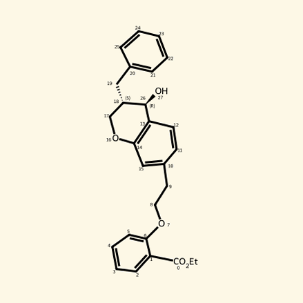 CCOC(=O)c1ccccc1OCCc1ccc2c(c1)OC[C@H](Cc1ccccc1)[C@H]2O